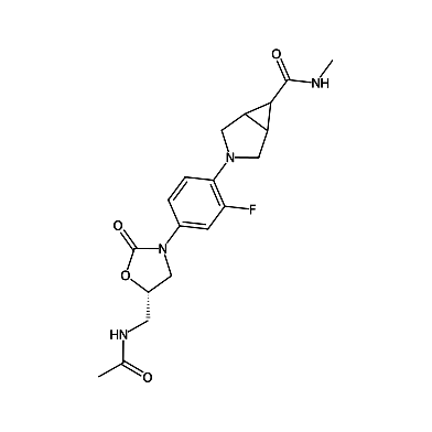 CNC(=O)C1C2CN(c3ccc(N4C[C@H](CNC(C)=O)OC4=O)cc3F)CC21